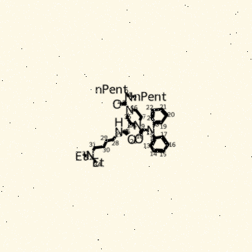 CCCCCN(CCCCC)C(=O)N1CCN(C(=O)N(c2ccccc2)c2ccccc2)[C@H](C(=O)NCCCCN(CC)CC)C1